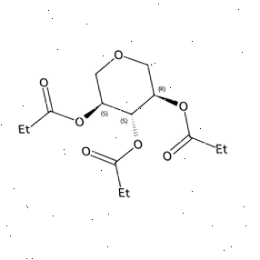 CCC(=O)O[C@@H]1[C@@H](OC(=O)CC)CO[CH][C@H]1OC(=O)CC